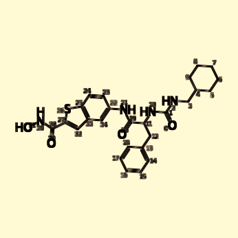 O=C(NCC1CCCCC1)NC(Cc1ccccc1)C(=O)Nc1ccc2sc(C(=O)NO)cc2c1